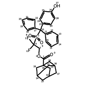 O=C(OCC(F)(F)S(=O)(=O)C(c1ccccc1)(c1ccccc1)c1ccc(O)cc1)C12CC3CC(CC(C3)C1)C2